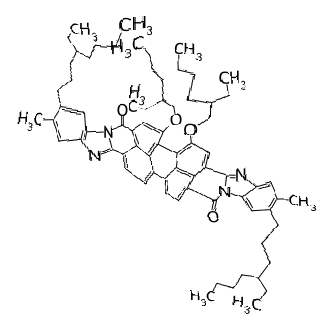 CCCCC(CC)CCCc1cc2c(cc1C)nc1c3ccc4c5ccc6c(=O)n7c8cc(CCCC(CC)CCCC)c(C)cc8nc7c7cc(OCC(CC)CCCC)c(c8c(OCC(CC)CCCC)cc(c(=O)n21)c3c48)c5c67